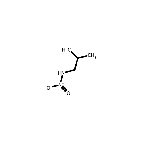 CC(C)CN[N+](=O)[O-]